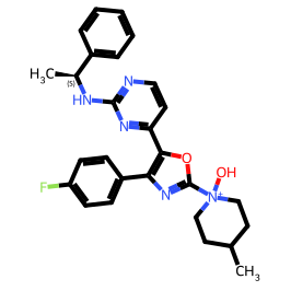 CC1CC[N+](O)(c2nc(-c3ccc(F)cc3)c(-c3ccnc(N[C@@H](C)c4ccccc4)n3)o2)CC1